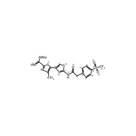 CNC(=N)c1nc(C)c(-c2csc(NC(=O)Cc3ccc(S(=O)(=O)C(F)(F)F)cc3)n2)s1